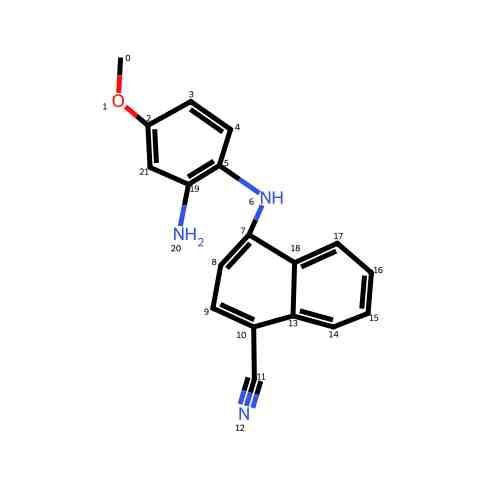 COc1ccc(Nc2ccc(C#N)c3ccccc23)c(N)c1